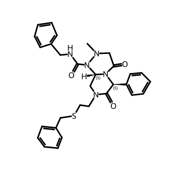 CN1CC(=O)N2[C@@H](c3ccccc3)C(=O)N(CCSCc3ccccc3)C[C@@H]2N1C(=O)NCc1ccccc1